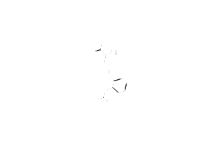 CC(=O)[C@@H](N)CSCc1ccccc1OC(F)F